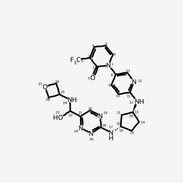 O=c1c(C(F)(F)F)cccn1-c1ccc(N[C@H]2CC[C@H](Nc3ncc(C(O)NC4COC4)nn3)C2)nc1